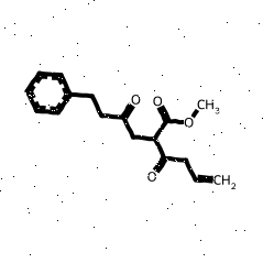 C=CCC(=O)C(CC(=O)CCc1ccccc1)C(=O)OC